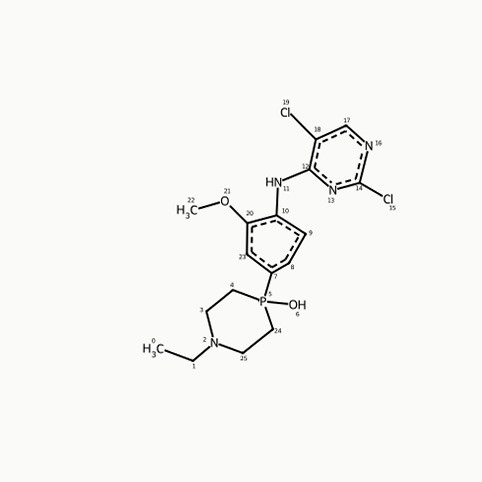 CCN1CC[P](O)(c2ccc(Nc3nc(Cl)ncc3Cl)c(OC)c2)CC1